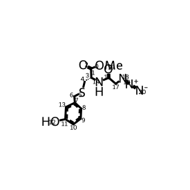 COC(=O)[C@@H](CSCc1cccc(O)c1)NC(=O)CN=[N+]=[N-]